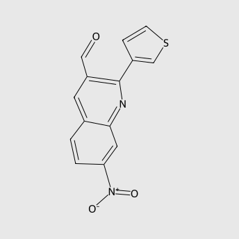 O=Cc1cc2ccc([N+](=O)[O-])cc2nc1-c1ccsc1